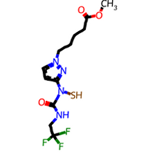 COC(=O)CCCCn1ccc(N(S)C(=O)NCC(F)(F)F)n1